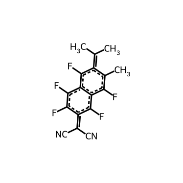 CC(C)=c1c(C)c(F)c2c(F)c(=C(C#N)C#N)c(F)c(F)c2c1F